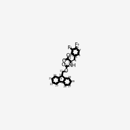 O=C(N[C@H](Cc1ccc(F)c(F)c1)C(=O)O)OCC1c2ccccc2-c2ccccc21